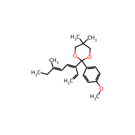 C=C/C(=C\C=C(/C)CC)C1(c2ccc(OC)cc2)OCC(C)(C)CO1